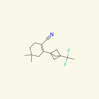 CC1(C)CCC(C#N)=C(C23CC(C(C)(F)F)(C2)C3)C1